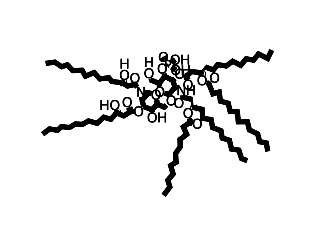 CCCCCCCCCCCCCC(=O)O[C@H](CCCCCCCCCCC)CC(=O)OC1C(NC(=O)C[C@@H](CCCCCCCCCCC)OC(=O)CCCCCCCCCCC)C(OCC2OC3C(C(OC(=O)C[C@H](O)CCCCCCCCCCC)C2O)N3C(=O)C[C@H](O)CCCCCCCCCCC)OC(CO)C1OP(=O)(O)O